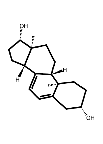 C[C@]12CC[C@H]3C(=CC=C4C[C@@H](O)CC[C@@]43C)[C@@H]1CC[C@@H]2O